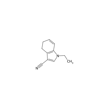 CCn1cc(C#N)c2c1C=CCC2